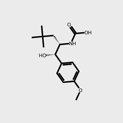 COc1ccc([C@H](O)[C@H](CC(C)(C)C)NC(=O)O)cc1